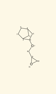 C1CC2CC1CC2OCC1CO1